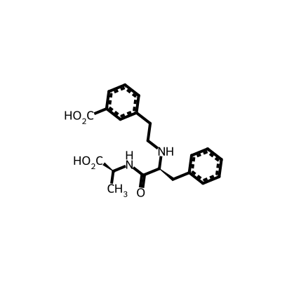 C[C@H](NC(=O)[C@H](Cc1ccccc1)NCCc1cccc(C(=O)O)c1)C(=O)O